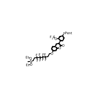 CCCCCc1ccc(-c2cc3ccc(OCCC(F)(F)C(F)(F)C(F)(F)C(F)(F)CC[Si](C)(OCC)OCC)cc3oc2=O)c(OC(F)(F)F)c1